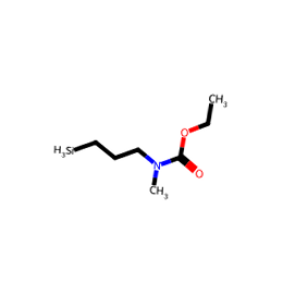 CCOC(=O)N(C)CCC[SiH3]